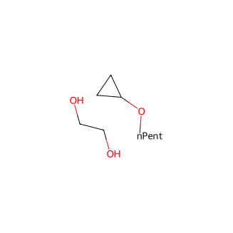 CCCCCOC1CC1.OCCO